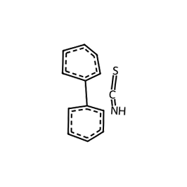 N=C=S.c1ccc(-c2ccccc2)cc1